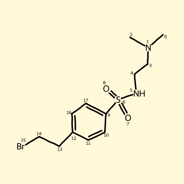 CN(C)CCNS(=O)(=O)c1ccc(CCBr)cc1